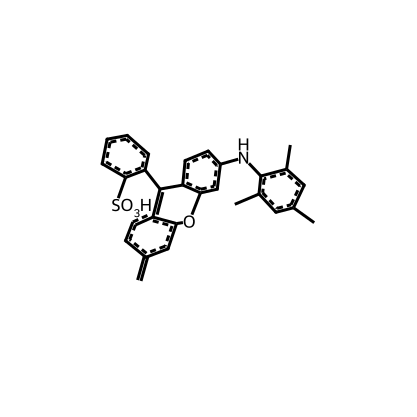 C=c1ccc2c(c1)Oc1cc(Nc3c(C)cc(C)cc3C)ccc1C=2c1ccccc1S(=O)(=O)O